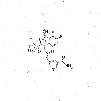 COc1c([C@@H]2[C@@H](C(=O)Nc3cncc(C(N)=O)c3)O[C@@](C)(C(F)(F)F)[C@H]2C)ccc(F)c1F